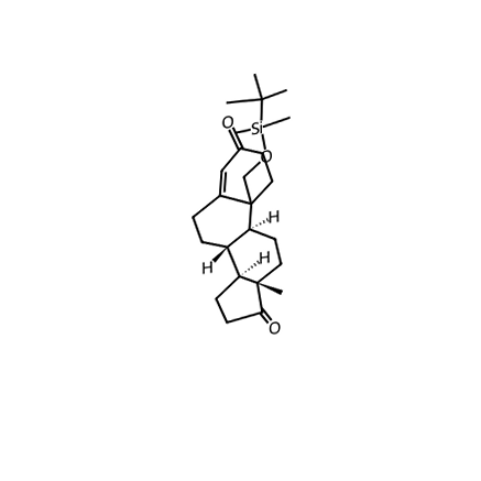 CC(C)(C)[Si](C)(C)OCC12CCC(=O)C=C1CC[C@@H]1[C@@H]2CC[C@]2(C)C(=O)CC[C@@H]12